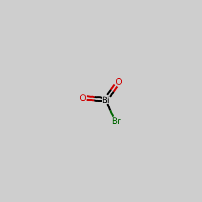 [O]=[Bi](=[O])[Br]